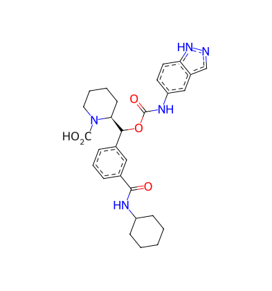 O=C(Nc1ccc2[nH]ncc2c1)OC(c1cccc(C(=O)NC2CCCCC2)c1)[C@@H]1CCCCN1C(=O)O